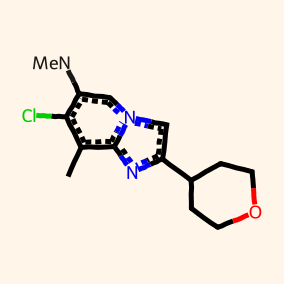 CNc1cn2cc(C3CCOCC3)nc2c(C)c1Cl